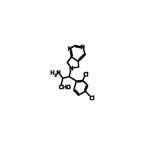 NC(C=O)C(c1ccc(Cl)cc1Cl)N1Cc2cncnc2C1